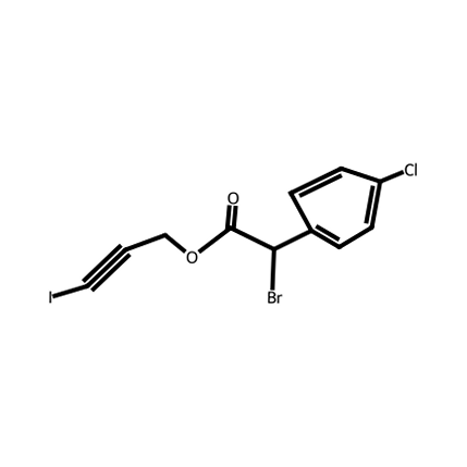 O=C(OCC#CI)C(Br)c1ccc(Cl)cc1